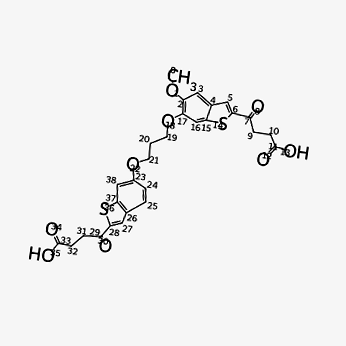 COc1cc2cc(C(=O)CCC(=O)O)sc2cc1OCCCOc1ccc2cc(C(=O)CCC(=O)O)sc2c1